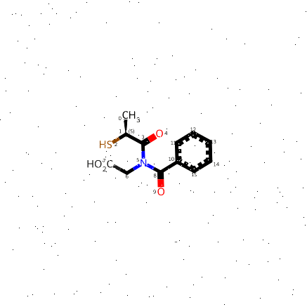 C[C@H](S)C(=O)N(CC(=O)O)C(=O)c1ccccc1